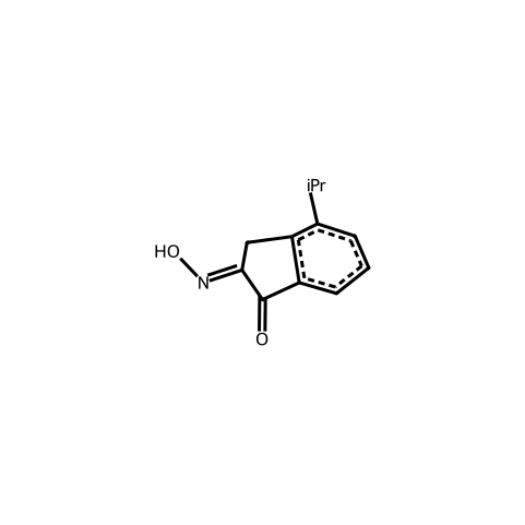 CC(C)c1cccc2c1C/C(=N\O)C2=O